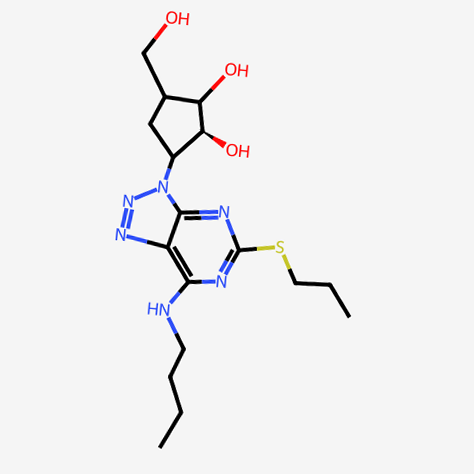 CCCCNc1nc(SCCC)nc2c1nnn2C1CC(CO)C(O)[C@H]1O